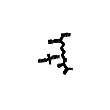 C=C(C)C(=O)OCCCC[SiH](OC)OC.CC(=O)O[Si](C)(C)OC(C)=O